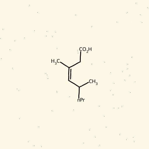 CCCC(C)C=C(C)CC(=O)O